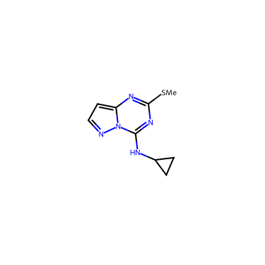 CSc1nc(NC2CC2)n2nccc2n1